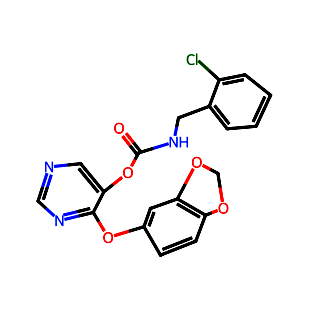 O=C(NCc1ccccc1Cl)Oc1cncnc1Oc1ccc2c(c1)OCO2